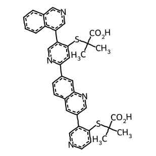 CC(C)(Sc1ccncc1-c1cnc2cc(-c3cc(SC(C)(C)C(=O)O)c(-c4cncc5ccccc45)cn3)ccc2c1)C(=O)O